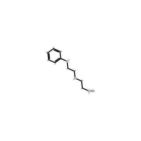 O=[C]CCOCCOc1ccccc1